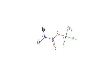 CCN(CC)C(=S)SC(F)(F)C(F)(F)F